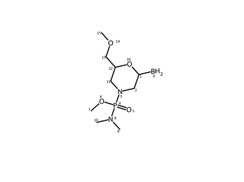 BC1CN(P(=O)(OC)N(C)C)CC(COC)O1